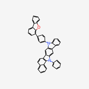 c1ccc(-n2c3cc4c5ccccc5n(-c5ccc(-c6cccc7c6oc6ccccc67)cc5)c4cc3c3ccc4ccccc4c32)cc1